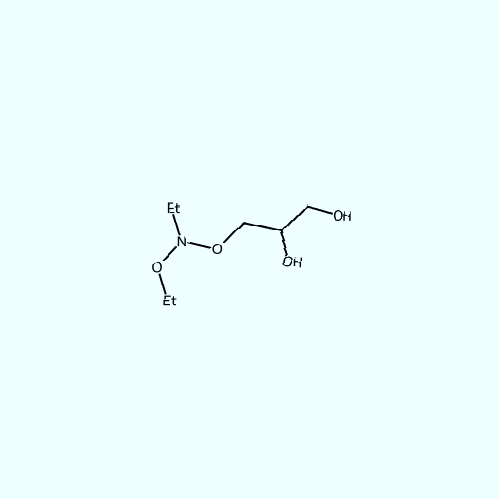 CCON(CC)OCC(O)CO